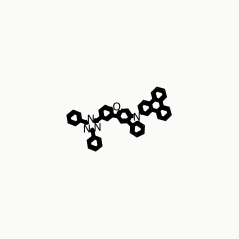 c1ccc(-c2nc(-c3ccccc3)nc(-c3ccc4oc5cc6c(cc5c4c3)c3ccccc3n6-c3ccc4c5ccccc5c5ccccc5c4c3)n2)cc1